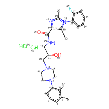 Cc1cccc(N2CCN(C[C@H](O)CNC(=O)c3nc(C)n(-c4ccccc4F)c3C)CC2)c1C.Cl.Cl